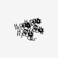 CC(C)(C)P(CCP(c1ccccn1)C(C)(C)C)c1ccccn1.CC(C)(C)P(CCP(c1ccccn1)C(C)(C)C)c1ccccn1.[Au+].[Cl-]